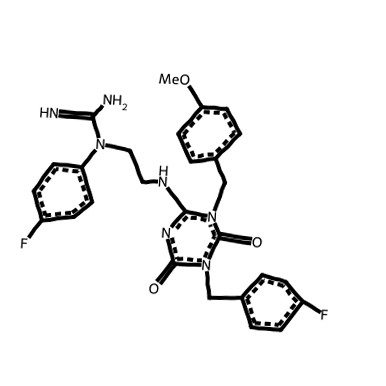 COc1ccc(Cn2c(NCCN(C(=N)N)c3ccc(F)cc3)nc(=O)n(Cc3ccc(F)cc3)c2=O)cc1